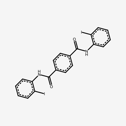 O=C(Nc1ccccc1I)c1ccc(C(=O)Nc2ccccc2I)cc1